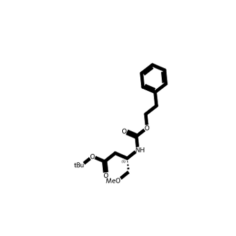 COC[C@H](CC(=O)OC(C)(C)C)NC(=O)OCCc1ccccc1